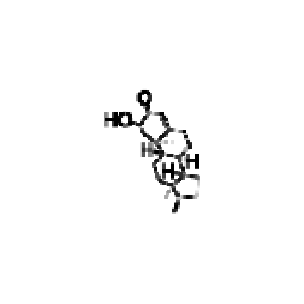 C[C@@H]1CC[C@H]2[C@@H]3CCC4=CC(=O)C(O)C[C@]4(C)[C@H]3CC[C@]12C